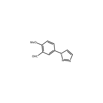 COc1ccc(-n2ccnn2)cc1C=O